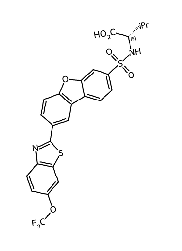 CC(C)[C@H](NS(=O)(=O)c1ccc2c(c1)oc1ccc(-c3nc4ccc(OC(F)(F)F)cc4s3)cc12)C(=O)O